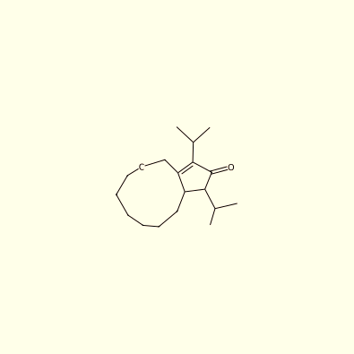 CC(C)C1=C2CCCCCCCCC2C(C(C)C)C1=O